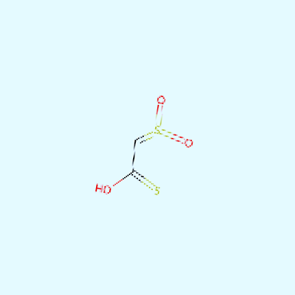 O=S(=O)=CC(O)=S